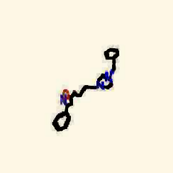 c1ccc(CN2CCN(CCCCc3cc(-c4ccccc4)no3)CC2)cc1